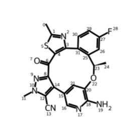 Cc1nc2c(s1)C(=O)c1nn(C)c(C#N)c1-c1cnc(N)c(c1)O[C@H](C)c1cc(F)ccc1-2